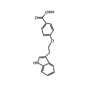 COC(=O)c1ccc(OCCc2c[nH]c3ccccc23)cc1